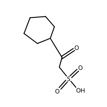 O=C(CS(=O)(=O)O)C1CCCCC1